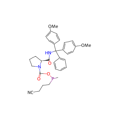 COc1ccc(C(NC(=O)[C@@H]2CCCN2C(=O)OP(C)CCCC#N)(c2ccccc2)c2ccc(OC)cc2)cc1